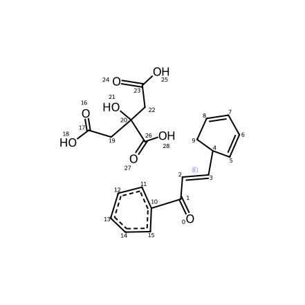 O=C(/C=C/C1C=CC=CC1)c1ccccc1.O=C(O)CC(O)(CC(=O)O)C(=O)O